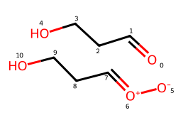 O=CCCO.[O-][O+]=CCCO